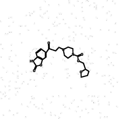 O=C(CCN1CCN(C(=O)OCC2CCCO2)CC1)c1ccc2[nH]c(=O)oc2c1